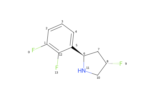 Fc1cccc([C@H]2C[C@H](F)CN2)c1F